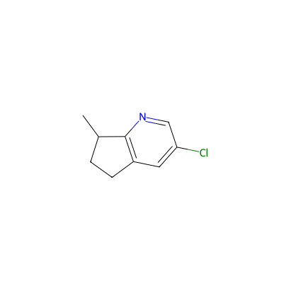 CC1CCc2cc(Cl)cnc21